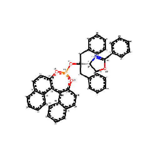 c1ccc(CC(Cc2ccccc2)(Op2oc3ccc4ccccc4c3c3c(ccc4ccccc43)o2)[C@H]2COC(c3ccccc3)=N2)cc1